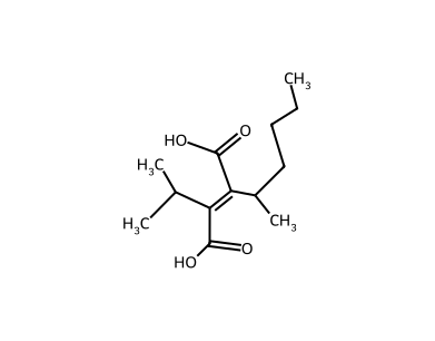 CCCCC(C)C(C(=O)O)=C(C(=O)O)C(C)C